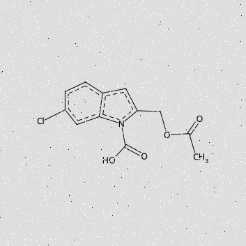 CC(=O)OCc1cc2ccc(Cl)cc2n1C(=O)O